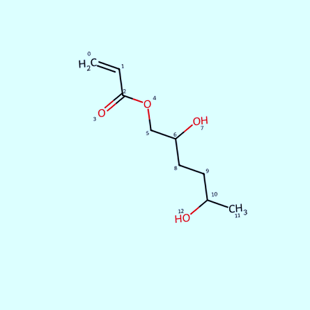 C=CC(=O)OCC(O)CCC(C)O